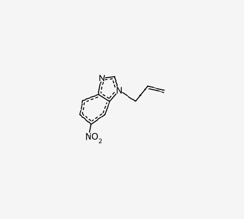 C=CCn1cnc2ccc([N+](=O)[O-])cc21